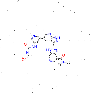 CCN(CC)C(=O)c1cncc2[nH]c(-c3n[nH]c4ncc(-c5cncc(NC(=O)N6CCOCC6)c5)cc34)nc12